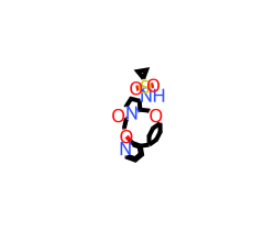 O=C1COc2ncccc2C2CCC(CC2)OCC2C(NS(=O)(=O)C3CC3)CCN12